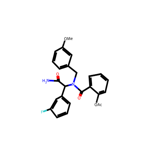 COc1cccc(CN(C(=O)c2ccccc2OC(C)=O)C(C(N)=O)c2cccc(F)c2)c1